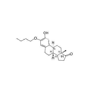 CCCCOc1cc2c(cc1O)[C@H]1CC[C@]3(C)C(=O)CC[C@H]3[C@@H]1CC2